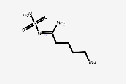 CC(C)(C)CCCC/C(N)=N/S(N)(=O)=O